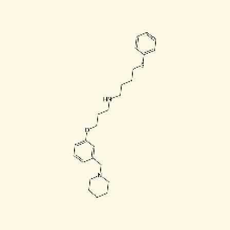 c1ccc(SCCCCNCCCOc2cccc(CN3CCCCC3)c2)cc1